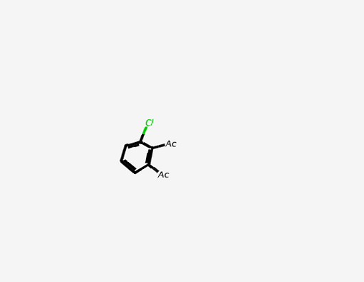 CC(=O)c1cccc(Cl)c1C(C)=O